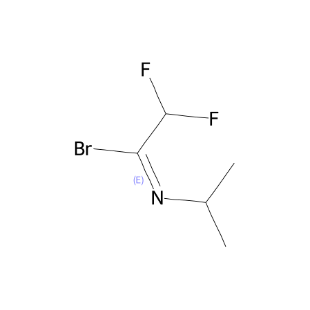 CC(C)/N=C(/Br)C(F)F